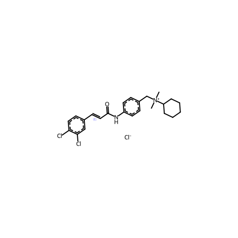 C[N+](C)(Cc1ccc(NC(=O)/C=C/c2ccc(Cl)c(Cl)c2)cc1)C1CCCCC1.[Cl-]